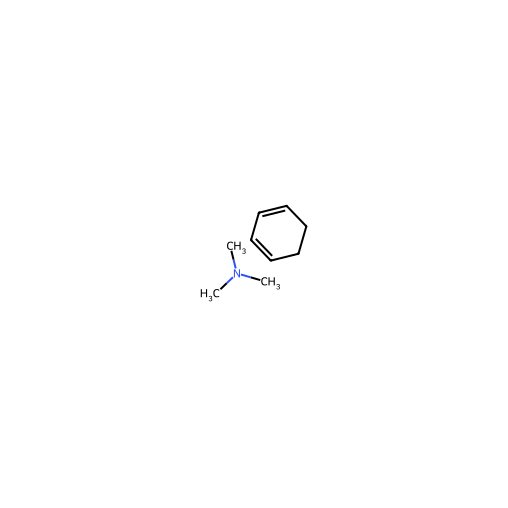 C1=CCCC=C1.CN(C)C